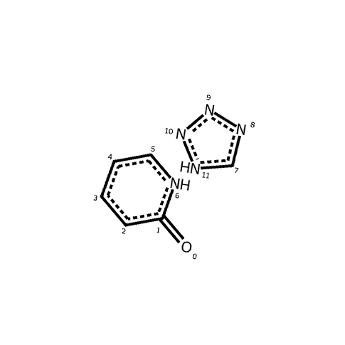 O=c1cccc[nH]1.c1nnn[nH]1